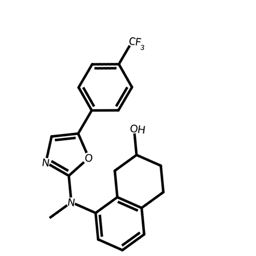 CN(c1ncc(-c2ccc(C(F)(F)F)cc2)o1)c1cccc2c1CC(O)CC2